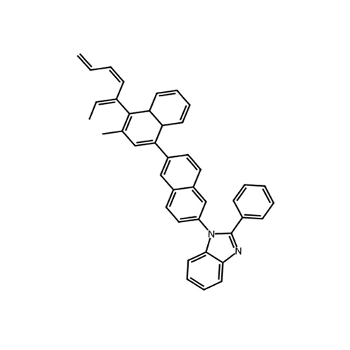 C=C/C=C\C(=C\C)C1=C(C)C=C(c2ccc3cc(-n4c(-c5ccccc5)nc5ccccc54)ccc3c2)C2C=CC=CC12